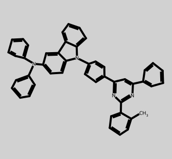 Cc1ccccc1-c1nc(-c2ccccc2)cc(-c2ccc(-n3c4ccccc4c4cc(N(c5ccccc5)c5ccccc5)ccc43)cc2)n1